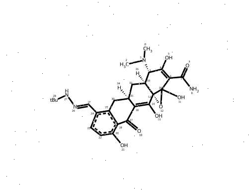 CN(C)[C@@H]1C(O)=C(C(N)=O)C2(O)O[C@@]23C(O)=C2C(=O)c4c(O)ccc(/C=N/NC(C)(C)C)c4C[C@H]2C[C@@H]13